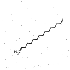 C=CCCCCCCCCCCCCCI